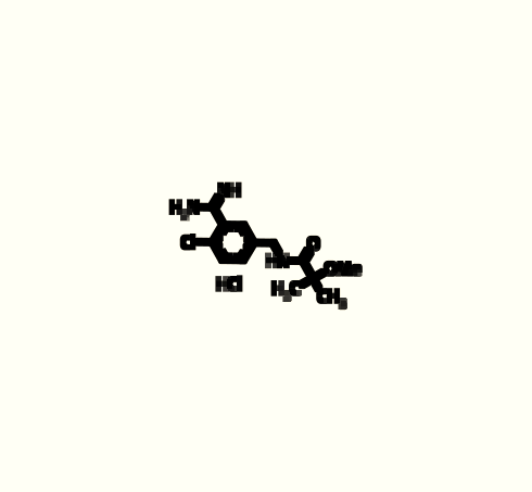 COC(C)(C)C(=O)NCc1ccc(Cl)c(C(=N)N)c1.Cl